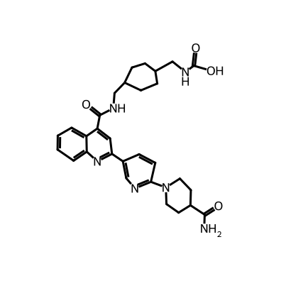 NC(=O)C1CCN(c2ccc(-c3cc(C(=O)NCC4CCC(CNC(=O)O)CC4)c4ccccc4n3)cn2)CC1